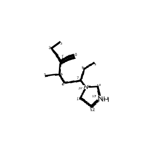 C=C(CC)C(C)CC(CC)N1CCNC1